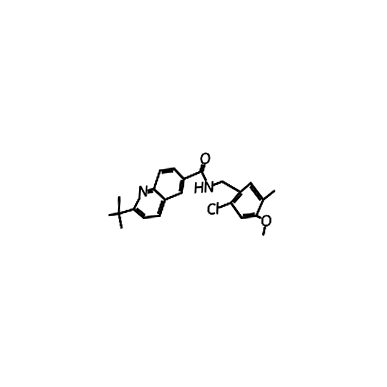 COc1cc(Cl)c(CNC(=O)c2ccc3nc(C(C)(C)C)ccc3c2)cc1C